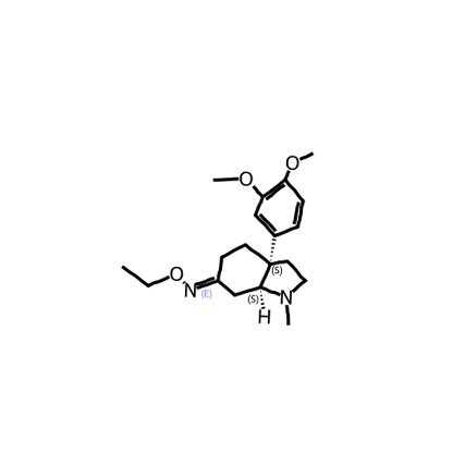 CCO/N=C1\CC[C@@]2(c3ccc(OC)c(OC)c3)CCN(C)[C@H]2C1